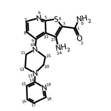 NC(=O)c1sc2nccc(N3CCN(c4ccccn4)CC3)c2c1N